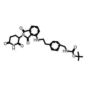 CC(C)(C)OC(=O)NCc1ccc(CCNc2cccc3c2C(=O)N(C2CCC(=O)NC2=O)C3=O)cc1